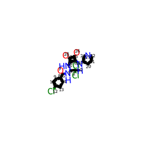 CC(Cl)(Cl)C(NC(=O)c1ccc(Cl)cc1)Nc1c(Nc2cccnc2)c(=O)c1=O